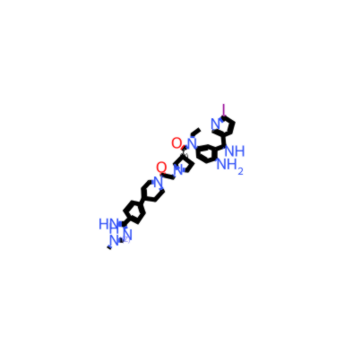 CCN(C(=O)[C@@H]1CCN(CC(=O)N2CC=C(c3ccc(C(=N)/N=C\NC)cc3)CC2)C1)c1ccc(N)c(C(=N)c2ccc(I)nc2)c1